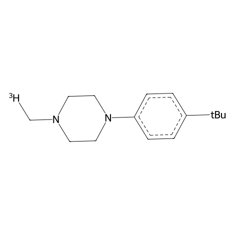 [3H]CN1CCN(c2ccc(C(C)(C)C)cc2)CC1